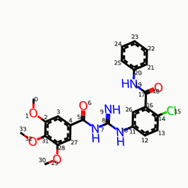 COc1cc(C(=O)NC(=N)Nc2ccc(Cl)c(C(=O)Nc3ccccc3)c2)cc(OC)c1OC